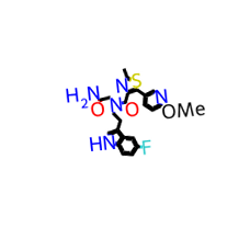 COc1ccc(-c2sc(C)nc2C(=O)N(CCc2c[nH]c3ccc(F)cc23)CC(N)=O)cn1